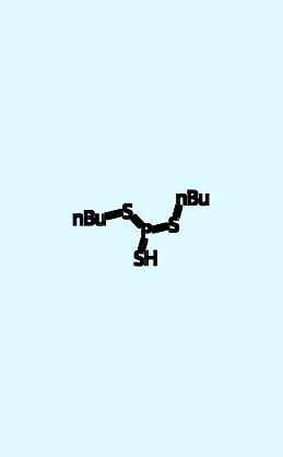 CCCCSP(S)SCCCC